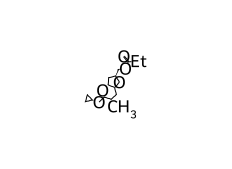 CCC(=O)OC[C@@H]1CCC(CC(C)C(=O)OC2CC2)O1